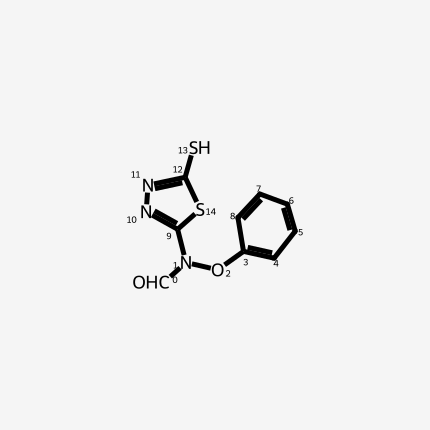 O=CN(Oc1ccccc1)c1nnc(S)s1